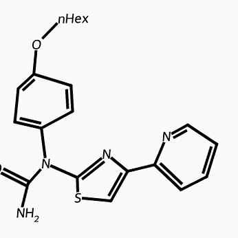 CCCCCCOc1ccc(N(C(N)=O)c2nc(-c3ccccn3)cs2)cc1